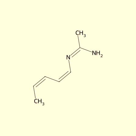 C\C=C/C=C\N=C(\C)N